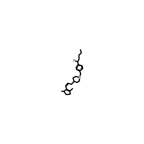 CCCCC(F)c1ccc(CN2CCC(C/C=C\C3=C(C)CCC3C)CC2)cc1